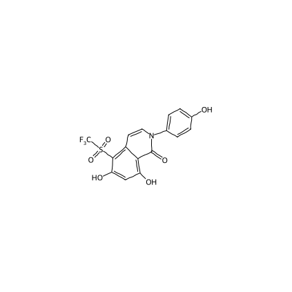 O=c1c2c(O)cc(O)c(S(=O)(=O)C(F)(F)F)c2ccn1-c1ccc(O)cc1